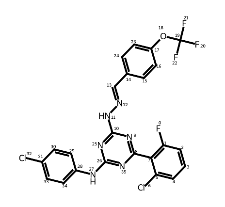 Fc1cccc(Cl)c1-c1nc(N/N=C/c2ccc(OC(F)(F)F)cc2)nc(Nc2ccc(Cl)cc2)n1